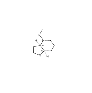 CSN1CCC[C@H]2OCC[C@H]21